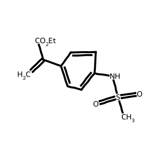 C=C(C(=O)OCC)c1ccc(NS(C)(=O)=O)cc1